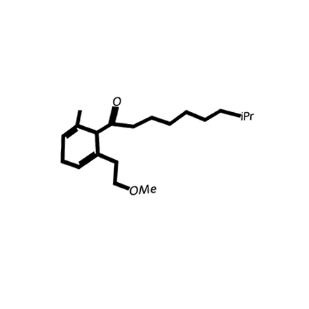 COCCC1=CCC=C(C)C1C(=O)CCCCCCC(C)C